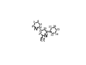 CCc1cc(-c2ccccn2)cc(-c2ccccc2)n1